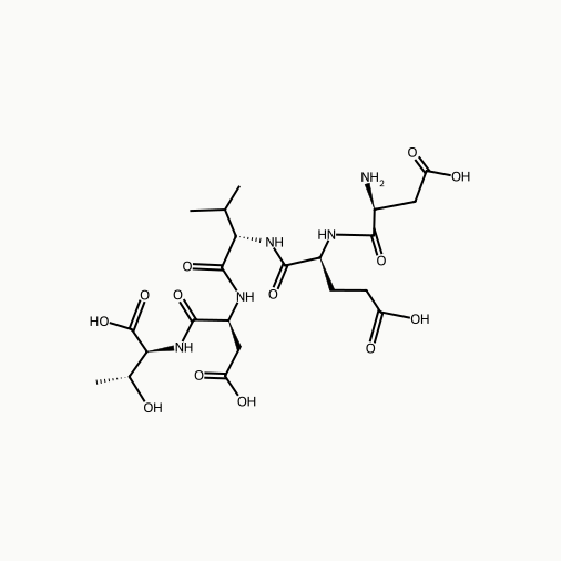 CC(C)[C@H](NC(=O)[C@H](CCC(=O)O)NC(=O)[C@@H](N)CC(=O)O)C(=O)N[C@@H](CC(=O)O)C(=O)N[C@H](C(=O)O)[C@@H](C)O